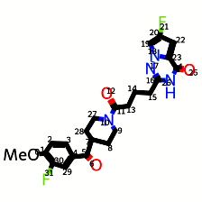 COc1ccc(C(=O)C2CCN(C(=O)CCCc3nn4cc(F)cc4c(=O)[nH]3)CC2)cc1F